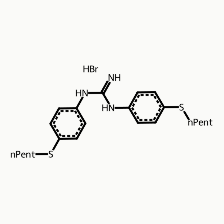 Br.CCCCCSc1ccc(NC(=N)Nc2ccc(SCCCCC)cc2)cc1